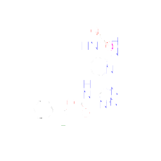 CNc1nc(-c2nnn(C)c2NC(=O)O[C@H](CF)c2ccccc2)ccc1NS(C)(=O)=O